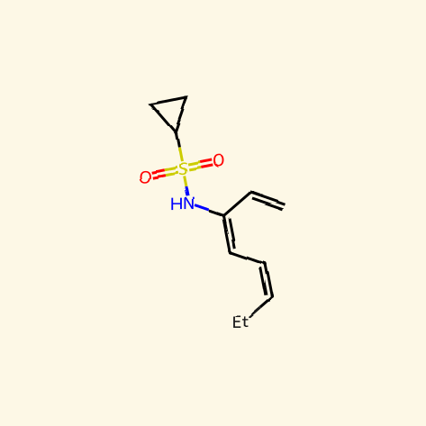 C=C/C(=C\C=C/CC)NS(=O)(=O)C1CC1